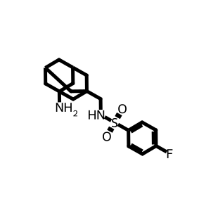 NC12CC3CC(C1)CC(CNS(=O)(=O)c1ccc(F)cc1)(C3)C2